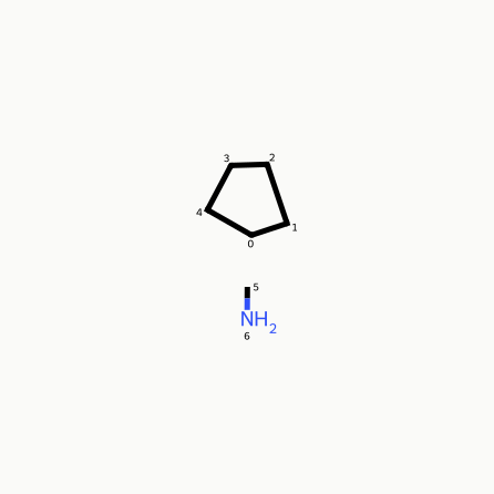 C1CCCC1.CN